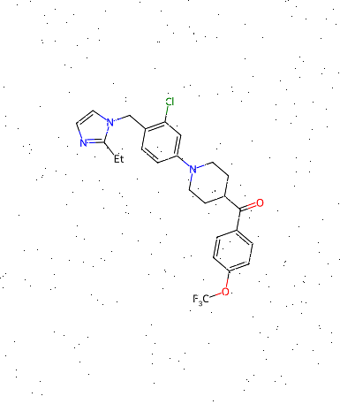 CCc1nccn1Cc1ccc(N2CCC(C(=O)c3ccc(OC(F)(F)F)cc3)CC2)cc1Cl